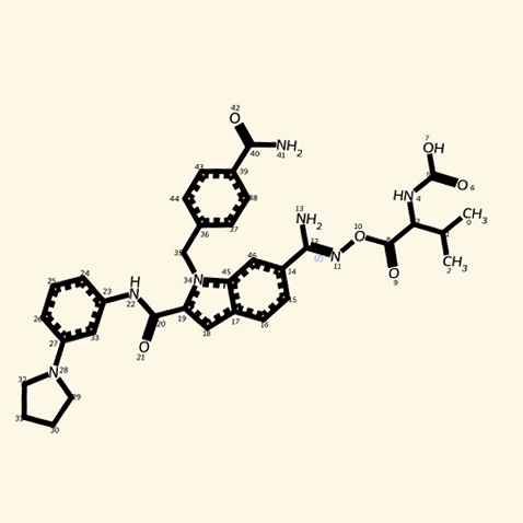 CC(C)C(NC(=O)O)C(=O)O/N=C(\N)c1ccc2cc(C(=O)Nc3cccc(N4CCCC4)c3)n(Cc3ccc(C(N)=O)cc3)c2c1